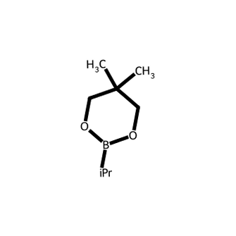 CC(C)B1OCC(C)(C)CO1